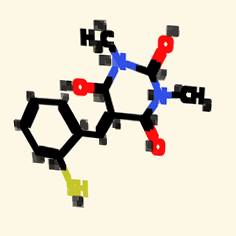 CN1C(=O)C(=Cc2ccccc2S)C(=O)N(C)C1=O